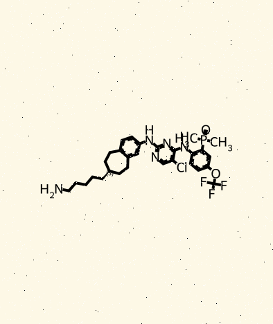 CP(C)(=O)c1cc(OC(F)(F)F)ccc1Nc1nc(Nc2ccc3c(c2)CC[C@@H](CCCCCN)CC3)ncc1Cl